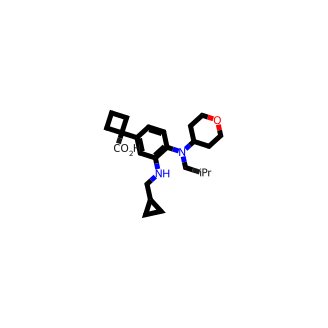 CC(C)CN(c1ccc(C2(C(=O)O)CCC2)cc1NCC1CC1)C1CCOCC1